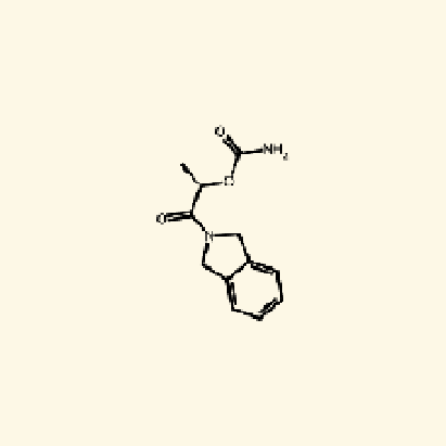 C[C@@H](OC(N)=O)C(=O)N1Cc2ccccc2C1